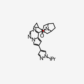 CC(C)n1cc(-c2cc3c(N4CC5CCC(C4)N5C(=O)C4CC4)ncnn3c2)cn1